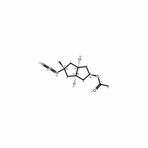 CC(=O)O[C@@H]1C[C@@H]2C[C@@](C)(N=[N+]=[N-])C[C@@H]2C1